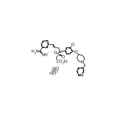 CCOC(=O)CS(=O)(=O)N(C/C=C/c1cccc(C(=N)N)c1)c1ccc(OC2CCN(Cc3cccnc3)CC2)c(Cl)c1.Cl.Cl.Cl